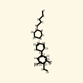 CCCCC[C@H]1CC[C@H](C2=CCC(c3cc(F)c(CC)c(F)c3)C=C2)CC1